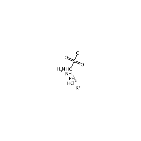 Cl.N.N.O=S(=O)([O-])O.P.[K+]